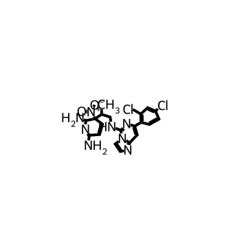 CC(CNc1nc(-c2ccc(Cl)cc2Cl)cc2nccn12)C1([N+](=O)[O-])C=CC(N)=NC1N